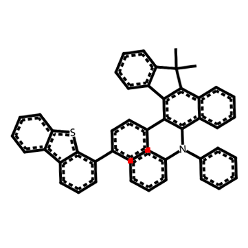 CC1(C)c2ccccc2-c2c(-c3ccc(-c4cccc5c4sc4ccccc45)cc3)c(N(c3ccccc3)c3ccccc3)c3ccccc3c21